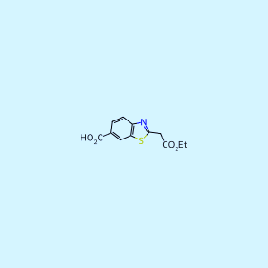 CCOC(=O)Cc1nc2ccc(C(=O)O)cc2s1